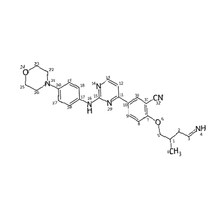 CC(CC=N)COc1ccc(-c2ccnc(Nc3ccc(N4CCOCC4)cc3)n2)cc1C#N